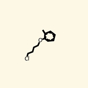 Cc1ccccc1OCCCCCl